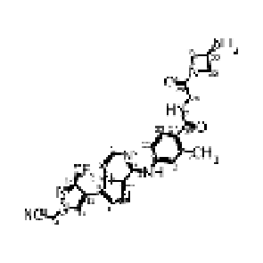 Cc1cc(Nc2nccn3c(-c4cn(CC#N)nc4C(F)(F)F)cnc23)ccc1C(=O)NCC(=O)N1CC(N)C1